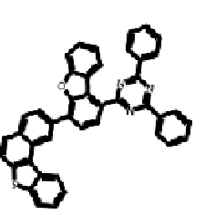 c1ccc(-c2nc(-c3ccccc3)nc(-c3ccc(-c4ccc5ccc6sc7ccccc7c6c5c4)c4oc5ccccc5c34)n2)cc1